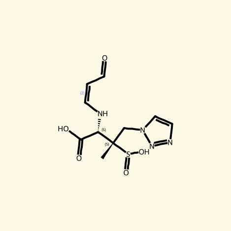 C[C@](Cn1ccnn1)([C@@H](N/C=C\C=O)C(=O)O)S(=O)O